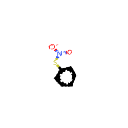 O=[N+]([O-])Sc1c[c]ccc1